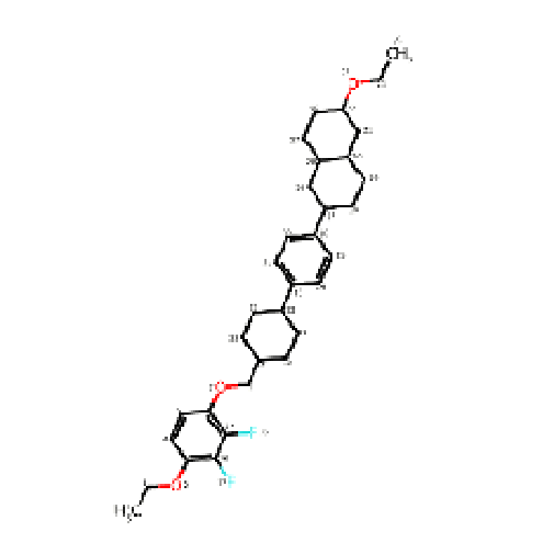 CCOc1ccc(OCC2CCC(c3ccc(C4CCC5CC(OCC)CCC5C4)cc3)CC2)c(F)c1F